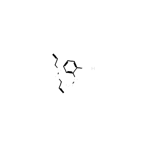 C=CCOOCC=C.CC(C)(C)Oc1ccccc1C(=O)O